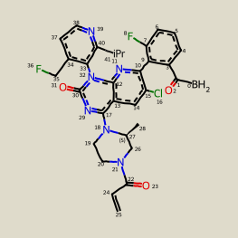 BC(=O)c1cccc(F)c1-c1nc2c(cc1Cl)c(N1CCN(C(=O)C=C)C[C@@H]1C)nc(=O)n2-c1c(CF)ccnc1C(C)C